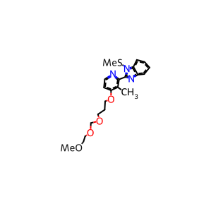 COCCOCOCCCOc1ccnc(-c2nc3ccccc3n2SC)c1C